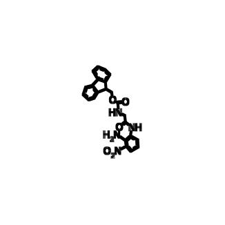 Nc1c(NC(=O)CNC(=O)OCC2c3ccccc3-c3ccccc32)cccc1[N+](=O)[O-]